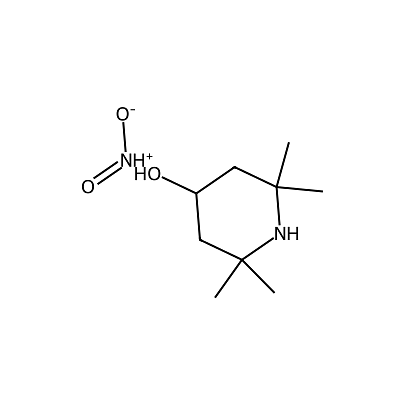 CC1(C)CC(O)CC(C)(C)N1.O=[NH+][O-]